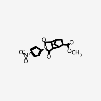 COC(=O)C1CC2CC1C1C(=O)N(c3ccc([N+](=O)[O-])cc3)C(=O)C21